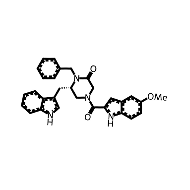 COc1ccc2[nH]c(C(=O)N3CC(=O)N(Cc4ccccc4)[C@@H](Cc4c[nH]c5ccccc45)C3)cc2c1